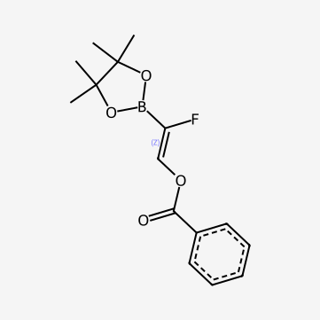 CC1(C)OB(/C(F)=C/OC(=O)c2ccccc2)OC1(C)C